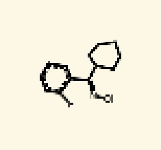 O/N=C(/c1ccccc1F)C1CCCCC1